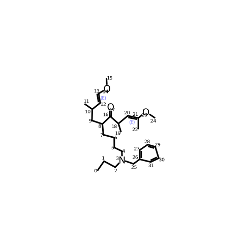 CCCN(CCCCC(CC(C)/C=C/OC)C(=O)C(C)/C=C(\C)OC)Cc1ccccc1